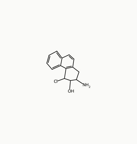 NC1Cc2ccc3ccccc3c2C(Cl)C1O